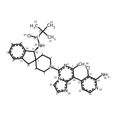 Cc1nc(N2CCC3(CC2)Cc2ccccc2[C@H]3N[S+]([O-])C(C)(C)C)n2ccnc2c1-c1ccnc(N)c1Cl